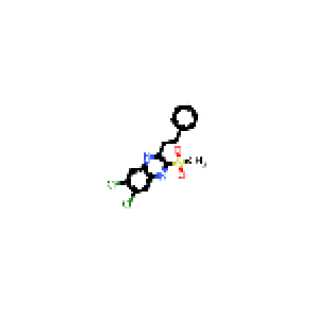 CS(=O)(=O)c1nc2cc(Cl)c(Cl)cc2nc1CCc1ccccc1